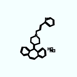 C(=Cc1ccccn1)CN1CCC(=C2c3ccccc3C=Cc3ccccc32)CC1.Cl.Cl